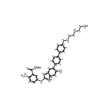 COC(=O)c1cc(Oc2nc3cc(-c4ccc(-c5ccc(COCCOCCO)cc5)cc4)c(Cl)cc3[nH]2)ccc1C